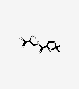 CC1(C)OCC(C(=O)NC[C@H](N)C(=O)O)O1